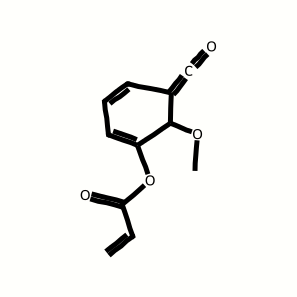 C=CC(=O)OC1=CC=CC(=C=O)C1OC